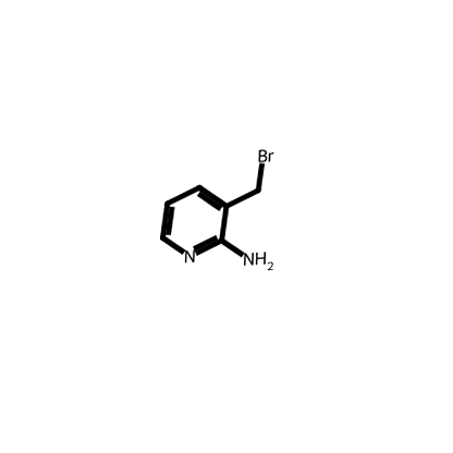 Nc1ncccc1CBr